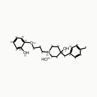 Cc1ccc(CC2(O)CCN(CCCOc3ccccc3O)CC2)cc1.Cl